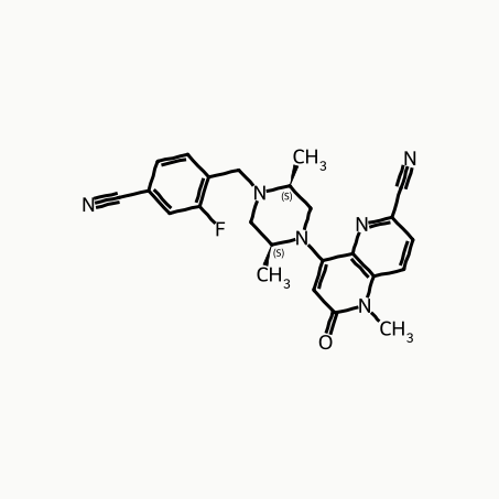 C[C@H]1CN(c2cc(=O)n(C)c3ccc(C#N)nc23)[C@@H](C)CN1Cc1ccc(C#N)cc1F